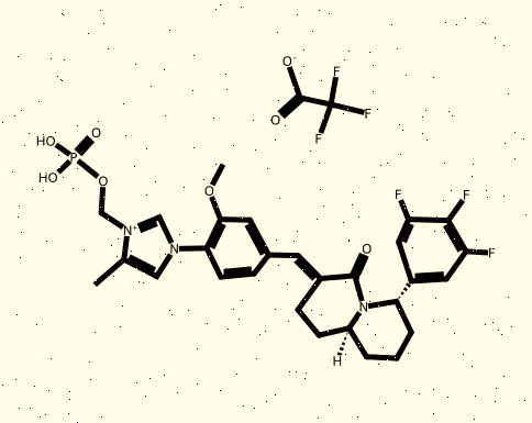 COc1cc(/C=C2\CC[C@@H]3CCC[C@@H](c4cc(F)c(F)c(F)c4)N3C2=O)ccc1-n1cc(C)[n+](COP(=O)(O)O)c1.O=C([O-])C(F)(F)F